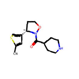 N#Cc1cc([C@@H]2CCON2C(=O)C2CCNCC2)cs1